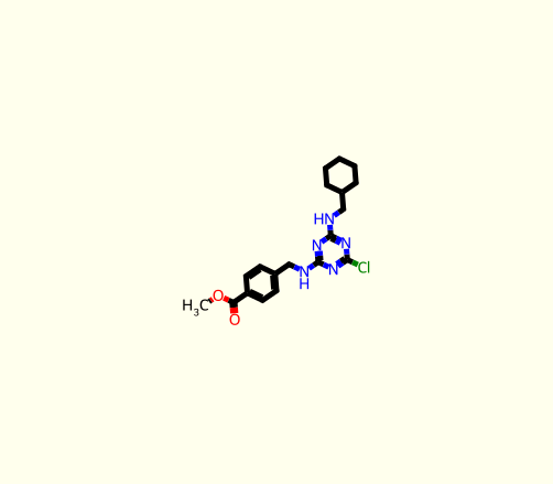 COC(=O)c1ccc(CNc2nc(Cl)nc(NCC3CCCCC3)n2)cc1